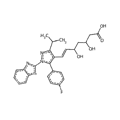 CC(C)c1nn(-c2nc3ccccc3s2)c(-c2ccc(F)cc2)c1C=CC(O)CC(O)CC(=O)O